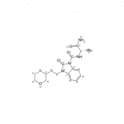 CC(C)(C)[C@H](NC(=O)n1c(=O)n(CCC2CCCOC2)c2ccccc21)C(N)=O